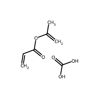 C=CC(=O)OC(=C)C.O=C(O)O